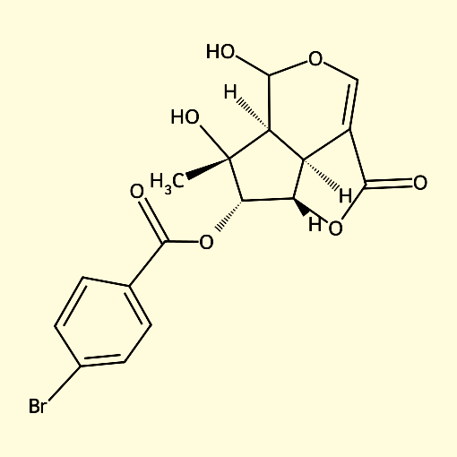 C[C@]1(O)[C@@H](OC(=O)c2ccc(Br)cc2)[C@H]2OC(=O)C3=COC(O)[C@H]1[C@@H]32